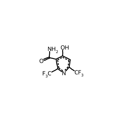 NC(=O)c1c(O)cc(C(F)(F)F)nc1C(F)(F)F